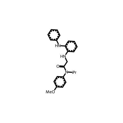 COc1ccc(N(C(=O)CNc2ccccc2Nc2ccccc2)C(C)C)cc1